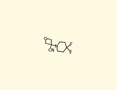 N#CC1(N2CCC(F)(F)CC2)COC1